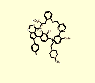 COc1ccccc1-c1nccc(COc2ccccc2C[C@@H](Oc2ncnn3cc(-c4ccc(F)cc4)c(-c4ccc(OCCN5CCN(C)CC5)c(Cl)c4C)c23)C(=O)O)n1